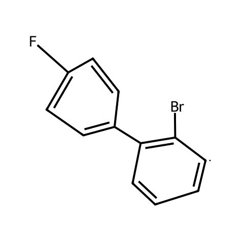 Fc1ccc(-c2ccc[c]c2Br)cc1